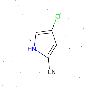 N#Cc1cc(Cl)c[nH]1